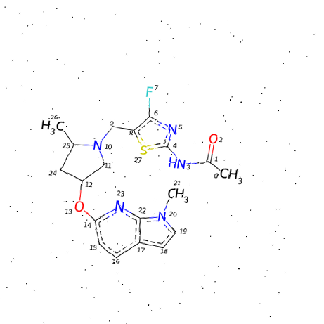 CC(=O)Nc1nc(F)c(CN2CC(Oc3ccc4ccn(C)c4n3)CC2C)s1